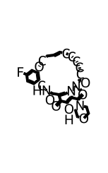 CN1C(=O)CCCCC/C=C/CCOc2cc(F)ccc2CNC(=O)c2cn1c(C(=O)N1CCOCC1)c(O)c2=O